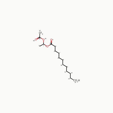 CC(OC(=O)CCCCCCCCCCC(=O)O)OC(=O)C(F)(F)F